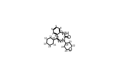 O=C1Nc2ccccc2C(C2CCCCC2)=NN1C1CCOCC1